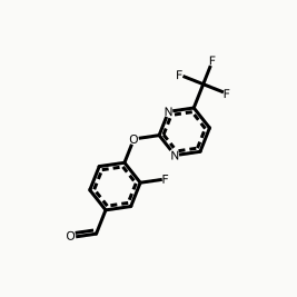 O=Cc1ccc(Oc2nccc(C(F)(F)F)n2)c(F)c1